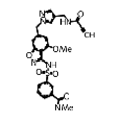 C#CC(=O)NCc1cnn(Cc2cc(OC)c3c(NS(=O)(=O)c4cccc(C(=O)NC)c4)noc3c2)c1